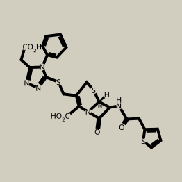 O=C(O)Cc1nnc(SCC2=C(C(=O)O)N3C(=O)C(NC(=O)Cc4cccs4)[C@H]3SC2)n1-c1ccccc1